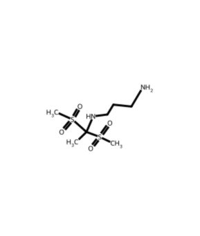 CC(NCCCN)(S(C)(=O)=O)S(C)(=O)=O